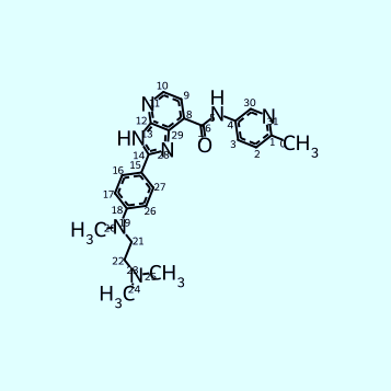 Cc1ccc(NC(=O)c2ccnc3[nH]c(-c4ccc(N(C)CCN(C)C)cc4)nc23)cn1